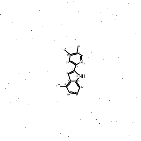 Cc1cnc(-c2cc3c(F)cccc3[nH]2)cc1C